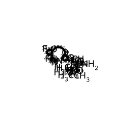 C[C@H](N)C(=O)N(C)[C@@H](C)C(=O)N[C@@H](CC(N)=O)C(=O)N=[S@@](C)(=O)Cc1cc2cc(c1)OCCCCOc1cc(F)ccc1-c1nc(ncc1F)N2